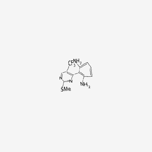 CSc1ncc(C(F)(F)F)c(-c2c(N)cccc2N)n1